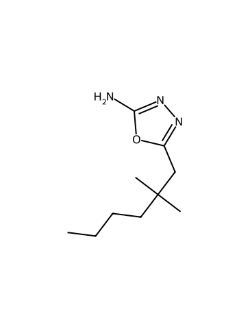 CCCCC(C)(C)Cc1nnc(N)o1